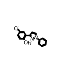 Oc1ccc(Cl)cc1-c1ccn(-c2ccccc2)n1